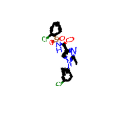 Cc1nc(C(=O)NS(=O)(=O)c2ccccc2Cl)cn1-c1ccc(Cl)cc1